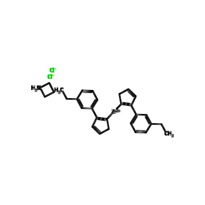 C1C[SiH2]C1.CCc1cccc(C2=[C]([Zr+2][C]3=C(c4cccc(CC)c4)C=CC3)CC=C2)c1.[Cl-].[Cl-]